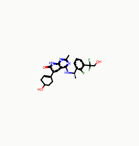 Cc1nc(N[C@H](C)c2cccc(C(F)(F)CO)c2F)c2cc(C3=CCC(O)CC3)c(=O)[nH]c2n1